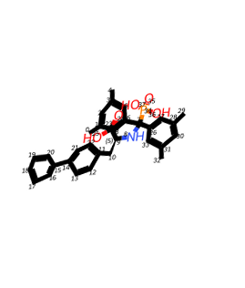 Cc1cc(C)cc(C(N[C@@H](Cc2ccc(-c3ccccc3)cc2)C(=O)O)(c2cc(C)cc(C)c2)P(=O)(O)O)c1